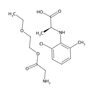 CCOCCOC(=O)CN.Cc1cccc(Cl)c1N[C@@H](C)C(=O)O